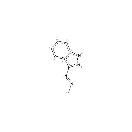 CN=Nn1nnc2ccccc21